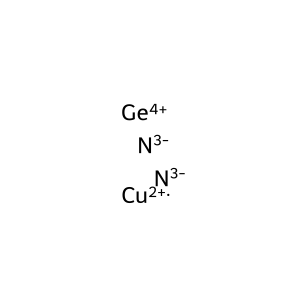 [Cu+2].[Ge+4].[N-3].[N-3]